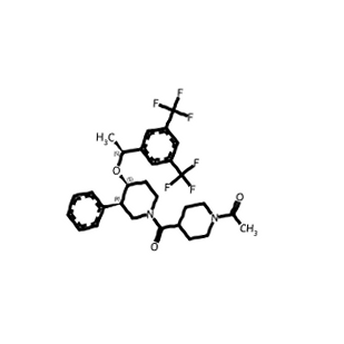 CC(=O)N1CCC(C(=O)N2CC[C@H](O[C@@H](C)c3cc(C(F)(F)F)cc(C(F)(F)F)c3)[C@H](c3ccccc3)C2)CC1